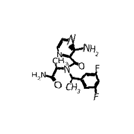 C[C@H](C(N)=O)N(C(=O)c1nccnc1N)[C@H](C)c1cc(F)cc(F)c1